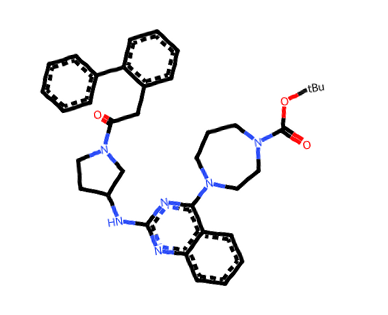 CC(C)(C)OC(=O)N1CCCN(c2nc(NC3CCN(C(=O)Cc4ccccc4-c4ccccc4)C3)nc3ccccc23)CC1